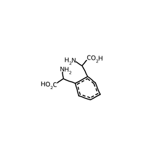 NC(C(=O)O)c1ccccc1C(N)C(=O)O